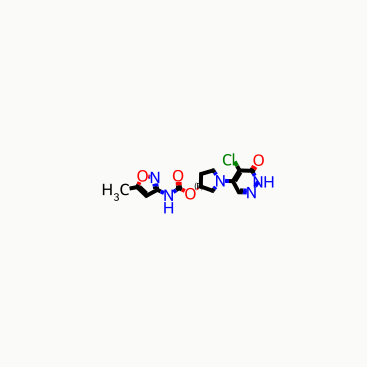 Cc1cc(NC(=O)O[C@@H]2CCN(c3cn[nH]c(=O)c3Cl)C2)no1